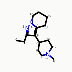 CCc1nn2c(c1C1CCN(C)CC1)CCCC2